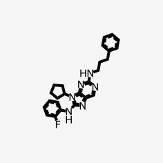 Fc1ccccc1Nc1nc2cnc(NCCCc3ccccc3)nc2n1C1CCCC1